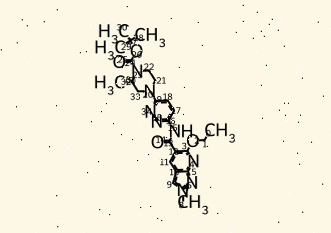 CCOc1nc2nn(C)cc2cc1C(=O)Nc1ccc(N2CCN(C(=O)OC(C)(C)C)[C@@H](C)C2)nn1